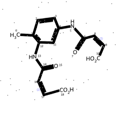 Cc1ccc(NC(=O)/C=C\C(=O)O)cc1NC(=O)/C=C\C(=O)O